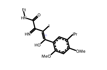 CCNC(=O)C(=N)/C(I)=C(\O)c1cc(C(C)C)c(OC)cc1OC